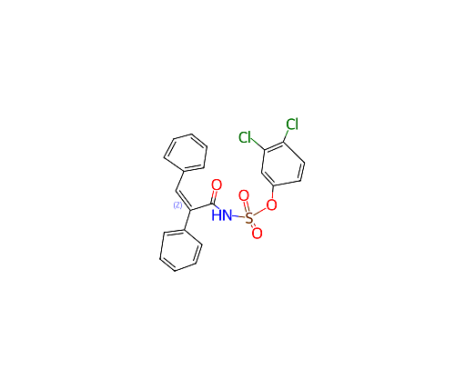 O=C(NS(=O)(=O)Oc1ccc(Cl)c(Cl)c1)/C(=C\c1ccccc1)c1ccccc1